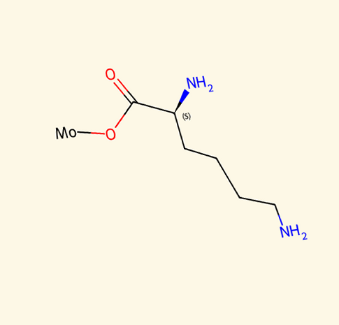 NCCCC[C@H](N)C(=O)[O][Mo]